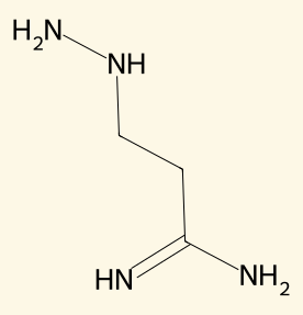 N=C(N)CCNN